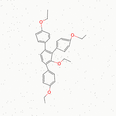 CCOc1ccc(-c2[c]cc(-c3ccc(OCC)cc3)c(OCC)c2-c2ccc(OCC)cc2)cc1